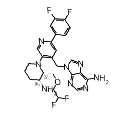 Nc1ncnc2c1ncn2Cc1cc(-c2ccc(F)c(F)c2)ncc1N1CCC[C@@H](N)[C@H]1COCC(F)F